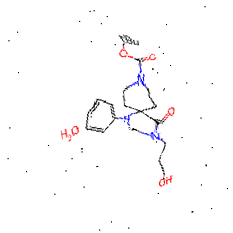 CC(C)(C)OC(=O)N1CCC2(CC1)C(=O)N(CCCO)CN2c1ccccc1.O